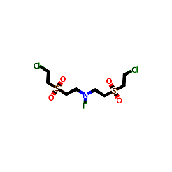 O=S(=O)(CCCl)CCN(F)CCS(=O)(=O)CCCl